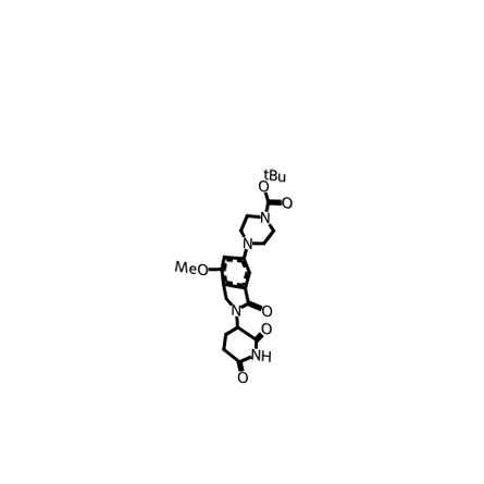 COc1cc(N2CCN(C(=O)OC(C)(C)C)CC2)cc2c1CN(C1CCC(=O)NC1=O)C2=O